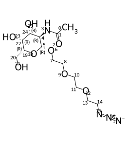 CC(=O)N[C@H]1[C@H](OCCOCCOCCN=[N+]=[N-])O[C@H](CO)[C@H](O)[C@@H]1O